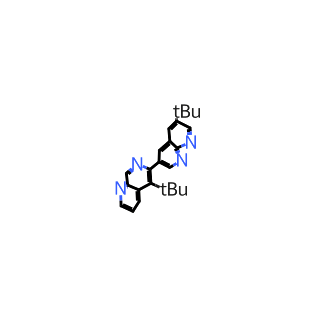 CC(C)(C)c1cnc2ncc(-c3ncc4ncccc4c3C(C)(C)C)cc2c1